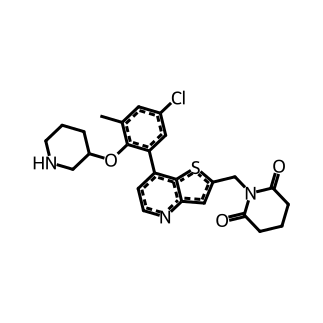 Cc1cc(Cl)cc(-c2ccnc3cc(CN4C(=O)CCCC4=O)sc23)c1OC1CCCNC1